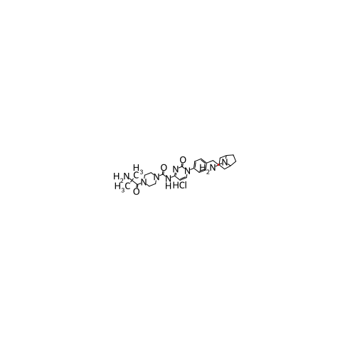 CC(C)(N)C(=O)N1CCN(C(=O)Nc2ccn(-c3ccc(CCN4C5CCC4CC(N)C5)cc3)c(=O)n2)CC1.Cl